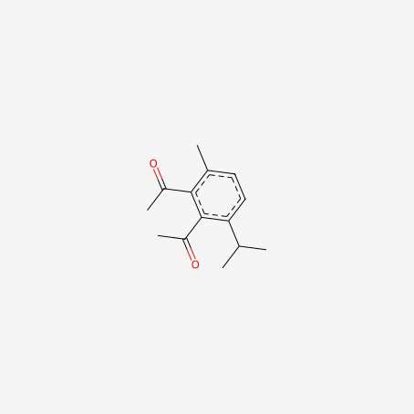 CC(=O)c1c(C)ccc(C(C)C)c1C(C)=O